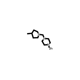 CC1CCN(CN2CCN(C(C)C)CC2)CC1